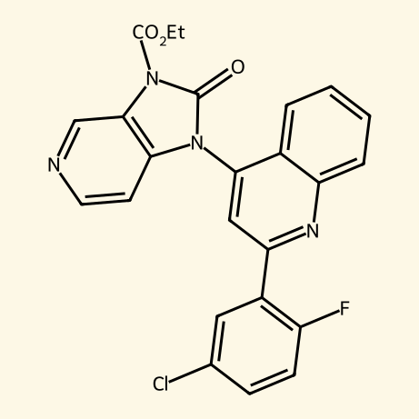 CCOC(=O)n1c(=O)n(-c2cc(-c3cc(Cl)ccc3F)nc3ccccc23)c2ccncc21